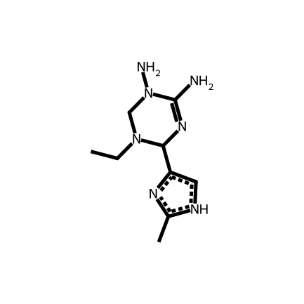 CCN1CN(N)C(N)=NC1c1c[nH]c(C)n1